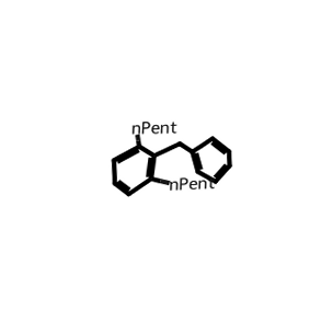 CCCCCc1cccc(CCCCC)c1Cc1ccccc1